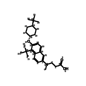 CN(CCC(=O)O)c1ccc2c(C(F)(F)F)c(O[C@H]3CC[C@H](C(C)(C)C)CC3)ccc2c1